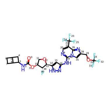 O=C(NC1CC2CCC21)O[C@H]1CO[C@@H](c2cc(Nc3ncc(C(F)(F)F)c4nc(COC(F)(F)F)cn34)n[nH]2)[C@@H]1F